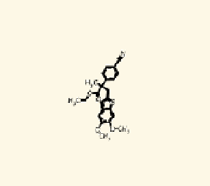 CCOC(=O)C(C)(Cc1cc2cc(OC)c(OC)cc2s1)c1ccc(C#N)cc1